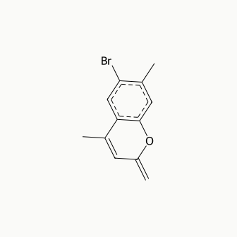 C=C1C=C(C)c2cc(Br)c(C)cc2O1